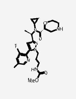 COC(=O)NCCCn1nc([C@@H](C)N(C(=O)[C@H]2CNCCO2)C2CC2)cc1-c1ncc(C)cc1F